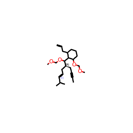 C=CCC1CCCC(OCOC)C1C(OCOC)[C@@H](CC#CC)C/C=C/C(C)C